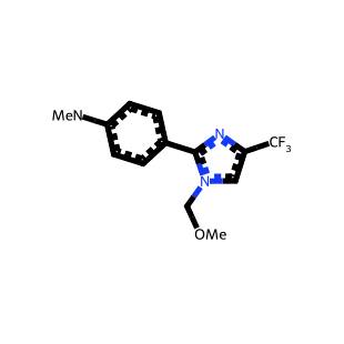 CNc1ccc(-c2nc(C(F)(F)F)cn2COC)cc1